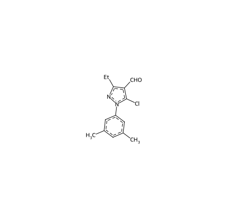 CCc1nn(-c2cc(C)cc(C)c2)c(Cl)c1C=O